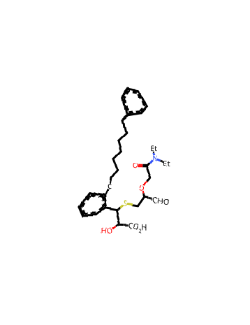 CCN(CC)C(=O)COC(C=O)CSC(c1ccccc1CCCCCCCCc1ccccc1)C(O)C(=O)O